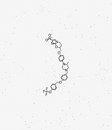 CC1CN(Cc2ccc(OCc3ccc(OC(F)(F)F)cc3)cc2)CCN1c1ccc(OCC2CCn3cc([N+](=O)[O-])nc3O2)cc1